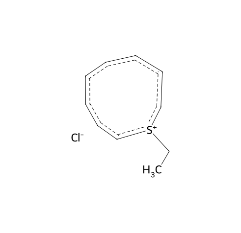 CC[s+]1cccccccc1.[Cl-]